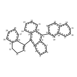 C1=C(c2c3ccccc3c(-c3ccc4ccccc4n3)c3ccccc23)c2ccccc2CC1